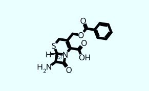 NC1C(=O)N2C(C(=O)O)=C(COC(=O)c3ccccc3)CS[C@@H]12